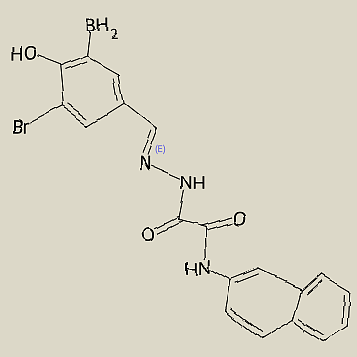 Bc1cc(/C=N/NC(=O)C(=O)Nc2ccc3ccccc3c2)cc(Br)c1O